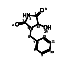 O=C1NC(=O)N(Cc2ccccc2)C1O